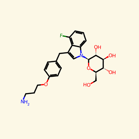 NCCCOc1ccc(Cc2cn([C@@H]3O[C@H](CO)[C@@H](O)[C@H](O)[C@H]3O)c3cccc(F)c23)cc1